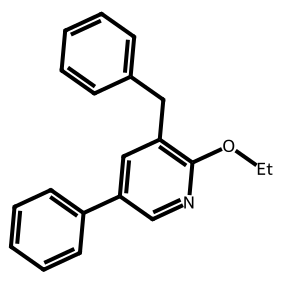 CCOc1ncc(-c2ccccc2)cc1Cc1ccccc1